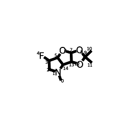 CN1CC(F)C2OC3OC(C)(C)OC3C21